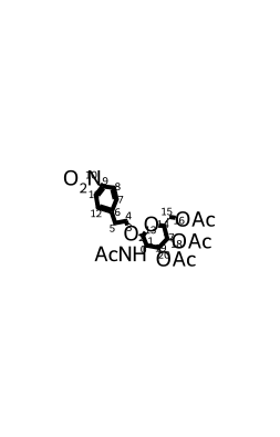 CC(=O)N[C@H]1[C@H](OCCc2ccc([N+](=O)[O-])cc2)O[C@H](COC(C)=O)[C@H](OC(C)=O)[C@@H]1OC(C)=O